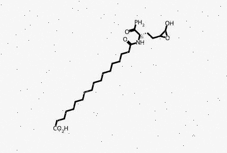 O=C(O)CCCCCCCCCCCCCCCCC(=O)N[C@@H](CCC1OC1O)C(=O)P